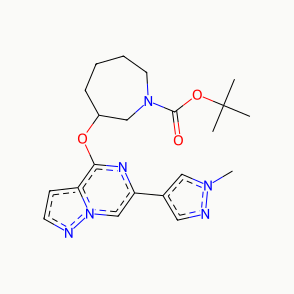 Cn1cc(-c2cn3nccc3c(OC3CCCCN(C(=O)OC(C)(C)C)C3)n2)cn1